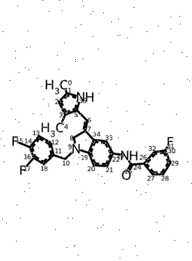 Cc1cc(C)c(C=C2CN(Cc3ccc(F)c(F)c3)c3ccc(NC(=O)c4cccc(F)c4)cc32)[nH]1